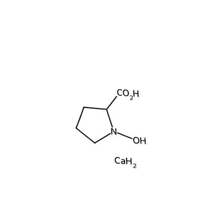 O=C(O)C1CCCN1O.[CaH2]